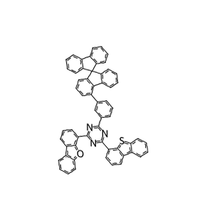 c1cc(-c2nc(-c3cccc4c3oc3ccccc34)nc(-c3cccc4c3sc3ccccc34)n2)cc(-c2cccc3c2-c2ccccc2C32c3ccccc3-c3ccccc32)c1